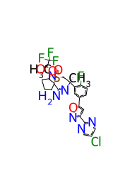 CN=[S@@]1(=O)C[C@@](C)(c2cc(-c3cc(-c4ncc(Cl)cn4)no3)ccc2F)N=C(N)C12CCCC2OC(=O)C(F)(F)F